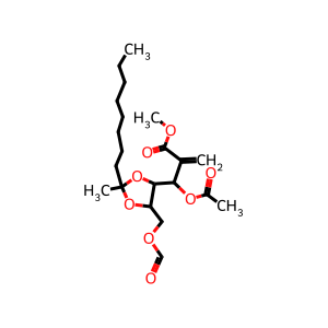 C=C(C(=O)OC)C(OC(C)=O)C1OC(C)(CCCCCCCC)OC1COC=O